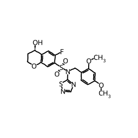 COc1ccc(CN(c2ncns2)S(=O)(=O)c2cc3c(cc2F)[C@H](O)CCO3)c(OC)c1